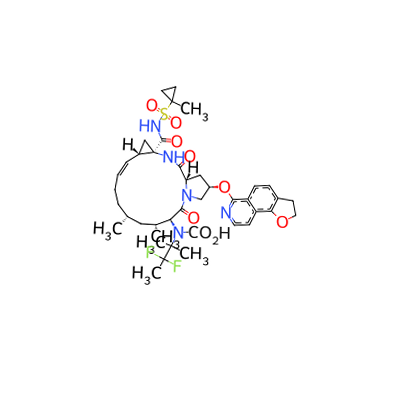 C[C@@H]1CCC=C[C@@H]2C[C@@]2(C(=O)NS(=O)(=O)C2(C)CC2)NC(=O)[C@@H]2C[C@@H](Oc3nccc4c5c(ccc34)CCO5)CN2C(=O)[C@@H](N(C(=O)O)C(C)(C)C(C)(F)F)[C@H](C)C1